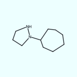 C1CCCC(N2CCCN2)CC1